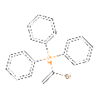 C=C(Br)[PH](c1ccccc1)(c1ccccc1)c1ccccc1